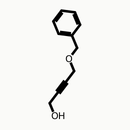 OCC#CCOCc1ccccc1